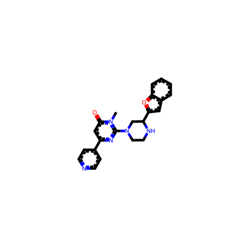 Cn1c(N2CCNC(c3cc4ccccc4o3)C2)nc(-c2ccncc2)cc1=O